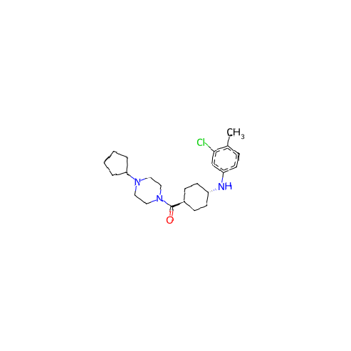 Cc1ccc(N[C@H]2CC[C@H](C(=O)N3CCN(C4CCCC4)CC3)CC2)cc1Cl